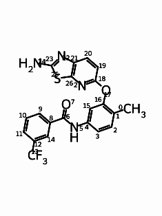 Cc1ccc(NC(=O)c2cccc(C(F)(F)F)c2)cc1Oc1ccc2nc(N)sc2n1